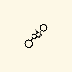 O=c1c2cnc(C3CCCCCCCC3)cc2cnn1C1CCCCCCC1